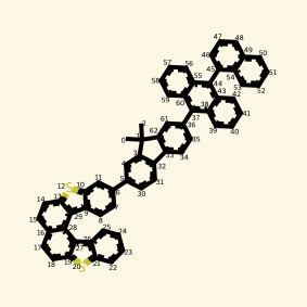 CC1(C)c2cc(-c3ccc4c(c3)sc3ccc5ccc6sc7ccccc7c6c5c34)ccc2-c2ccc(-c3c4ccccc4c(-c4cccc5ccccc45)c4ccccc34)cc21